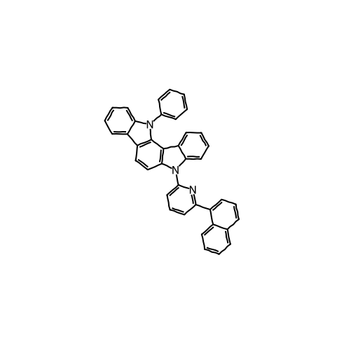 c1ccc(-n2c3ccccc3c3ccc4c(c5ccccc5n4-c4cccc(-c5cccc6ccccc56)n4)c32)cc1